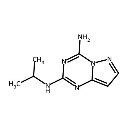 CC(C)Nc1nc(N)n2nccc2n1